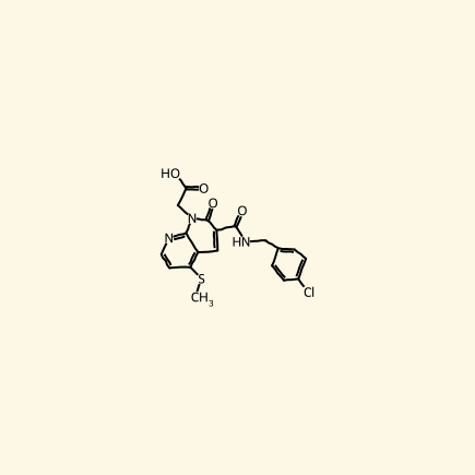 CSc1ccnc2c1cc(C(=O)NCc1ccc(Cl)cc1)c(=O)n2CC(=O)O